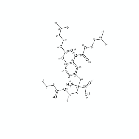 CCCC(=O)O[C@@H](C)CC(N)(Cc1ccc(OC(=O)OCCC(C)C)c(OC(=O)OCCC(C)C)c1)C(=O)O